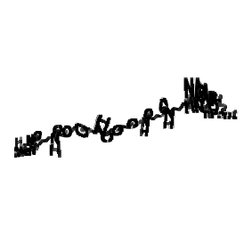 CCCCC[C@H](NC(=O)[C@H](CCCCNC(=O)CCCC(=O)NCCOCCOCC(=O)NCCOCCOCC(=O)NCCCC[C@H](NC)C(N)=O)NC)C(N)=O